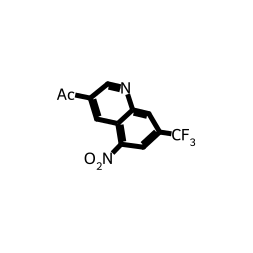 CC(=O)c1cnc2cc(C(F)(F)F)cc([N+](=O)[O-])c2c1